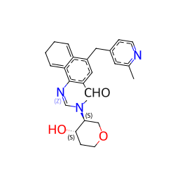 Cc1cc(Cc2cc(C=O)c(/N=C\N(C)[C@H]3COCC[C@@H]3O)c3c2=CCCC=3)ccn1